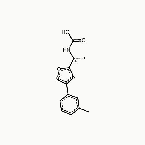 Cc1cccc(-c2noc([C@@H](C)NC(=O)O)n2)c1